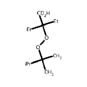 CCC(CC)(OOC(C)(C)C(C)C)C(=O)O